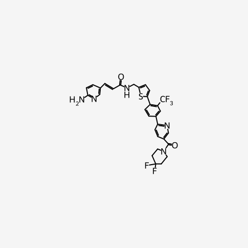 Nc1ccc(C=CC(=O)NCc2ccc(-c3ccc(-c4ccc(C(=O)N5CCC(F)(F)CC5)cn4)cc3C(F)(F)F)s2)cn1